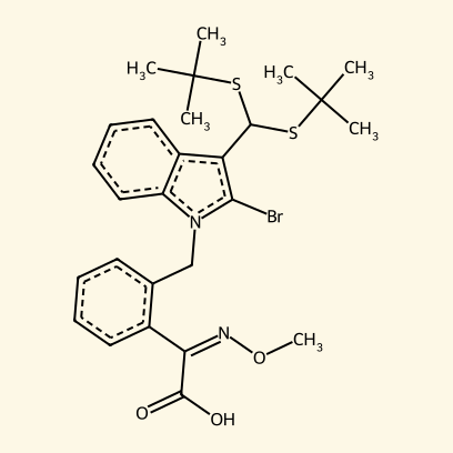 CON=C(C(=O)O)c1ccccc1Cn1c(Br)c(C(SC(C)(C)C)SC(C)(C)C)c2ccccc21